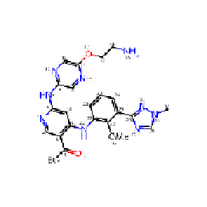 CCC(=O)c1cnc(Nc2cnc(OCCN)cn2)cc1Nc1cccc(-c2ncn(C)n2)c1OC